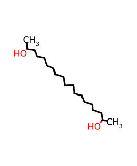 CC(O)CCCCCCCCCCCCCCCC(C)O